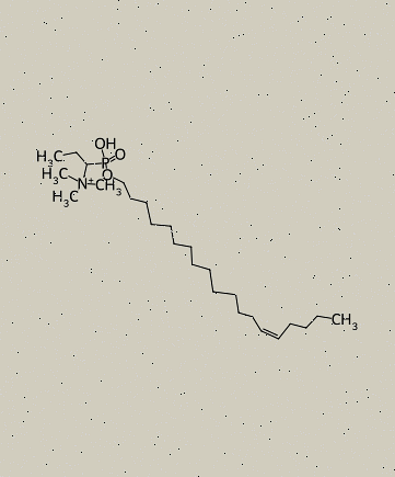 CCCC/C=C\CCCCCCCCCCCCCOP(=O)(O)C(CC)[N+](C)(C)C